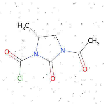 CC(=O)N1CC(C)N(C(=O)Cl)C1=O